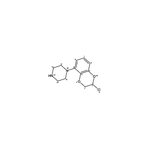 ClC1COc2c(cccc2N2CCNCC2)O1